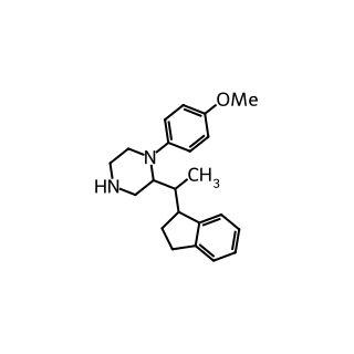 COc1ccc(N2CCNCC2C(C)C2CCc3ccccc32)cc1